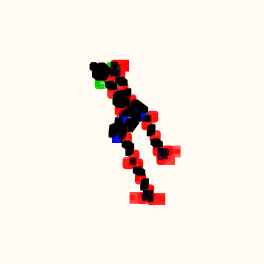 Cc1cc(Cl)c(OCCOc2ccc(C3=C(C(=O)N(Cc4ccnc(OCCCOC(=O)OCCOCCON(O)O)c4C)C4CC4)C4CN(C(=O)OCCOCCON(O)O)CC(C3)N4C(=O)OCCOCCON(O)O)cc2)c(Cl)c1